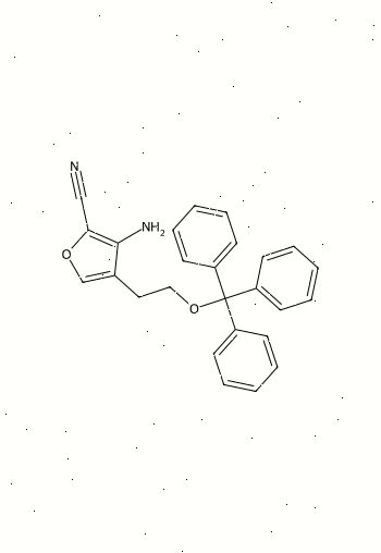 N#Cc1occ(CCOC(c2ccccc2)(c2ccccc2)c2ccccc2)c1N